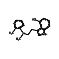 Cc1ccccc1N(C)CCc1c[nH]c2cccc(O)c12